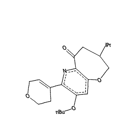 CCCCOc1cc2c(nc1C1=CCOCC1)C(=O)CC(C(C)C)CO2